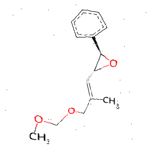 COCOC/C(C)=C/[C@H]1O[C@@H]1c1ccccc1